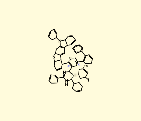 C/C(=C\C(=C(/N)C1C=CCC2SC3CC4=C(C=C3C21)C1C=CC=CC1N4C1C=CC=CC1)C1N=C(C2=CC=CCC2)NC(C2CC=CCC2)N1)C1=C(c2ccccc2)C=CC[C@@H]1C1=CC(I)CCC1